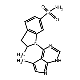 Cc1cnc2[nH]cnc(N3c4cc(S(N)(=O)=O)ccc4CC3C)c1-2